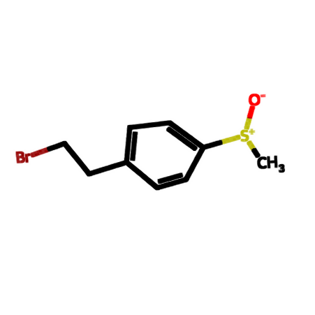 C[S+]([O-])c1ccc(CCBr)cc1